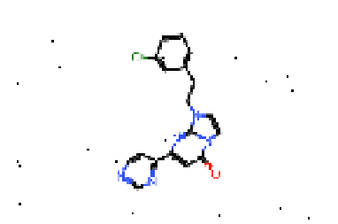 O=c1cc(-c2ccncn2)nc2n(CCc3cccc(Cl)c3)ccn12